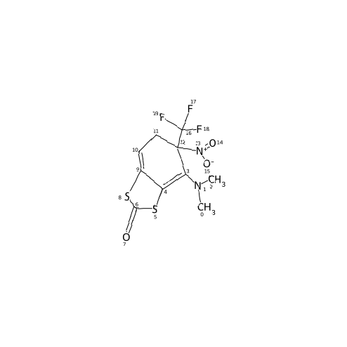 CN(C)C1=c2sc(=O)sc2=CCC1([N+](=O)[O-])C(F)(F)F